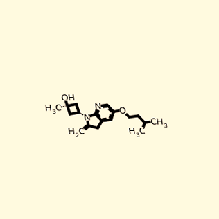 C=C1Cc2cc(OCCC(C)C)cnc2N1[C@H]1C[C@](C)(O)C1